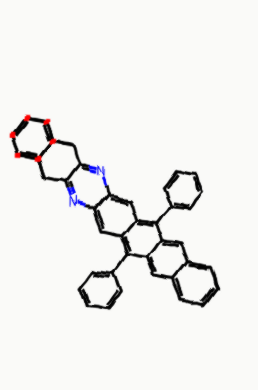 c1ccc(-c2c3cc4ccccc4cc3c(-c3ccccc3)c3cc4nc5c(nc4cc23)C2c3ccccc3C5c3ccccc32)cc1